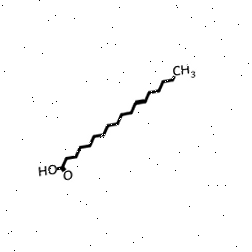 CCCCCC=CCCCCCCCCCCC(=O)O